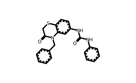 O=C(Nc1ccccc1)Nc1ccc2c(c1)N(Cc1ccccc1)C(=O)CS2